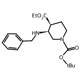 CCOC(=O)[C@H]1CCN(C(=O)OC(C)(C)C)C[C@H]1NCc1ccccc1